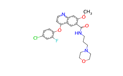 COc1cc2nccc(Oc3ccc(Cl)cc3F)c2cc1C(=O)NCCCN1CCOCC1